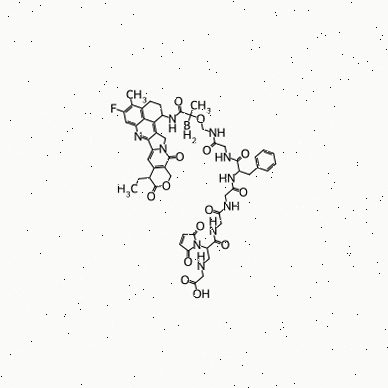 BC(C)(OCNC(=O)CNC(=O)C(Cc1ccccc1)NC(=O)CNC(=O)CNC(=O)C(CNCC(=O)O)N1C(=O)C=CC1=O)C(=O)NC1CCc2c(C)c(F)cc3nc4c(c1c23)Cn1c-4cc2c(c1=O)COC(=O)C2CC